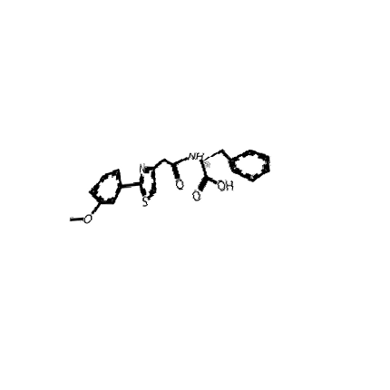 COc1cccc(-c2nc(CC(=O)N[C@@H](Cc3ccccc3)C(=O)O)cs2)c1